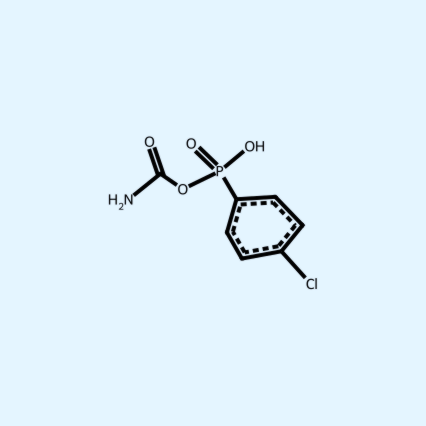 NC(=O)OP(=O)(O)c1ccc(Cl)cc1